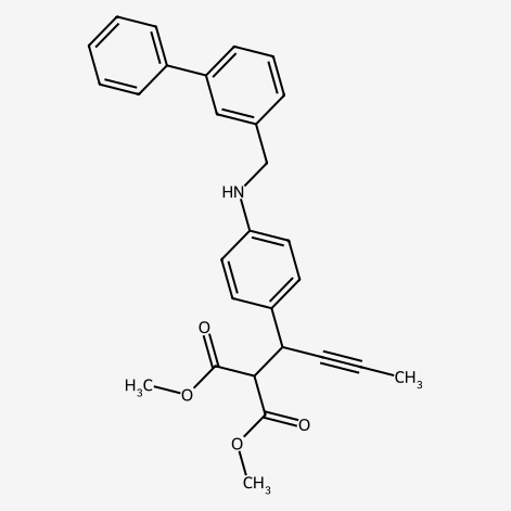 CC#CC(c1ccc(NCc2cccc(-c3ccccc3)c2)cc1)C(C(=O)OC)C(=O)OC